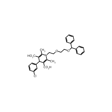 CC1=C(C(=O)O)C(c2cccc(Cl)c2)C(C(=O)O)=C(C)N1CCOCCOC(c1ccccc1)c1ccccc1